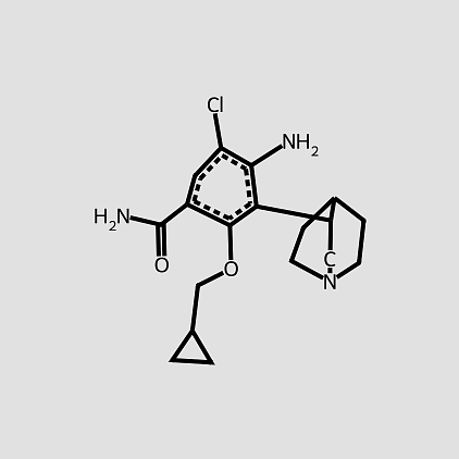 NC(=O)c1cc(Cl)c(N)c(C2CN3CCC2CC3)c1OCC1CC1